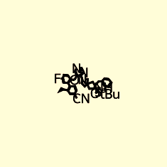 CC(C)(C)[S+]([O-])NC1(Cc2ccccc2)CCC2(CCN(c3ncncc3Oc3ccc(F)cc3-c3ccc(C#N)cc3C3CC3)C2)C1